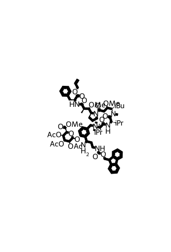 C=CCOC(=O)[C@H](Cc1ccccc1)NC(=O)[C@H](C)[C@@H](OC)[C@@H]1CCCN1C(=O)C[C@@H](OC)[C@H]([C@@H](C)CC)N(C)C(=O)[C@@H](NC(=O)[C@H](C(C)C)[N+](C)(C)Cc1ccc(O[C@@H]2O[C@H](C(=O)OC)[C@@H](OC(C)=O)[C@H](OC(C)=O)[C@H]2OC(C)=O)c(C(N)CCNC(=O)OCC2c3ccccc3-c3ccccc32)c1)C(C)C